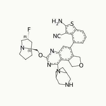 N#Cc1c(N)sc2cccc(-c3cc4nc(OC[C@@]56CCCN5C[C@H](F)C6)nc(N5C6CCC5CNC6)c4c4c3COC4)c12